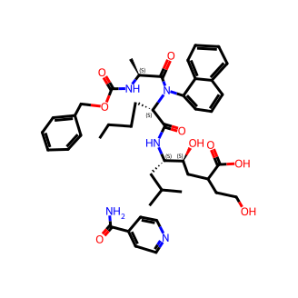 CCCC[C@@H](C(=O)N[C@@H](CC(C)C)[C@@H](O)CC(CCO)C(=O)O)N(C(=O)[C@H](C)NC(=O)OCc1ccccc1)c1cccc2ccccc12.NC(=O)c1ccncc1